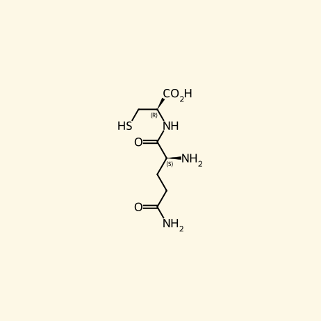 NC(=O)CC[C@H](N)C(=O)N[C@@H](CS)C(=O)O